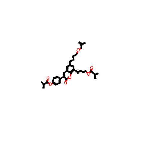 C=C(C)COCCCCc1cc(CCCCOC(=O)C(=C)C)c2oc(=O)c(-c3ccc(OC(=O)C(=C)C)cc3)cc2c1